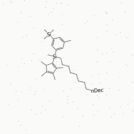 CCCCCCCCCCCCCCCCCC[Si](C)(C1=C(C)C(C)=C(C)C1C)c1cc(C)cc([Si](C)(C)C)c1